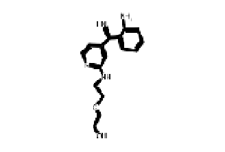 N=C(c1ccnc(NCCOCCO)c1)c1ccccc1N